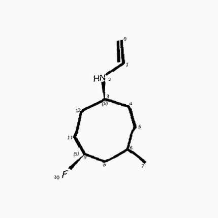 C=CN[C@H]1CCC(C)C[C@@H](F)CC1